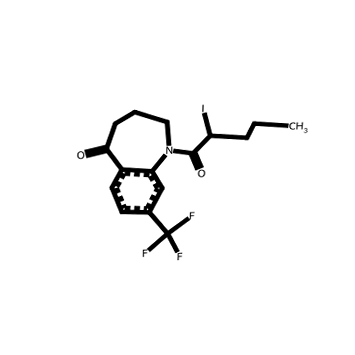 CCCC(I)C(=O)N1CCCC(=O)c2ccc(C(F)(F)F)cc21